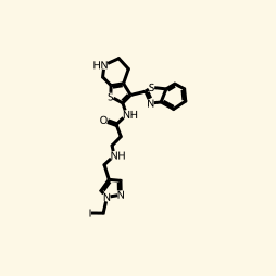 O=C(CCNCc1cnn(CI)c1)Nc1sc2c(c1-c1nc3ccccc3s1)CCNC2